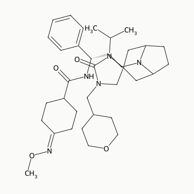 CON=C1CCC(C(=O)N[C@@H](CCN2C3CCC2CC2(C3)CN(CC3CCOCC3)C(=O)N2C(C)C)c2ccccc2)CC1